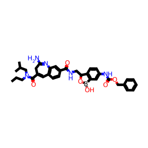 CCCN(CC(C)C)C(=O)C1=Cc2ccc(C(=O)NCC3OB(O)c4cc(NC(=O)OCc5ccccc5)ccc43)cc2N=C(N)C1